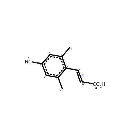 Cc1cc(C#N)cc(C)c1/C=C/C(=O)O